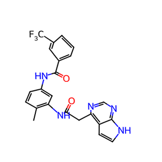 Cc1ccc(NC(=O)c2cccc(C(F)(F)F)c2)cc1NC(=O)Cc1ncnc2[nH]ccc12